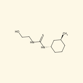 C[C@H]1CCC[C@H](NC(=S)NCCO)C1